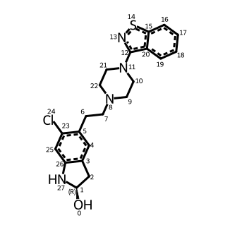 O[C@@H]1Cc2cc(CCN3CCN(c4nsc5ccccc45)CC3)c(Cl)cc2N1